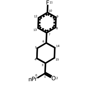 CCCC(=O)C1CCC(c2ccc(F)cc2)CC1